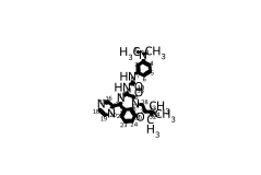 CN(C)c1cccc(NC(=O)N[C@@H]2N=C(c3cnccn3)c3ccccc3N(CC(=O)C(C)(C)C)C2=O)c1